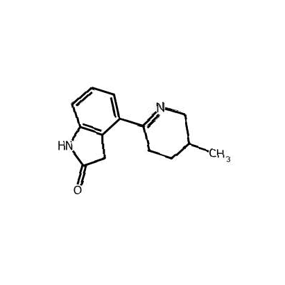 CC1CCC(c2cccc3c2CC(=O)N3)=NC1